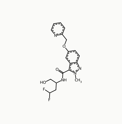 Cn1nc2ccc(OCc3ccccn3)cc2c1C(=O)NC(CO)CC(F)F